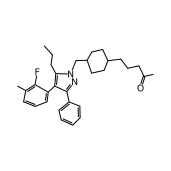 CCCc1c(-c2cccc(C)c2F)c(-c2ccccc2)nn1CC1CCC(CCCC(C)=O)CC1